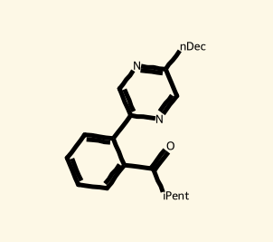 CCCCCCCCCCc1cnc(-c2ccccc2C(=O)C(C)CCC)cn1